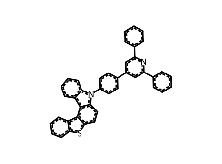 c1ccc(-c2cc(-c3ccc(-n4c5ccccc5c5c6c(ccc54)sc4ccccc46)cc3)cc(-c3ccccc3)n2)cc1